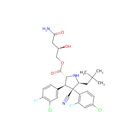 CC(C)(C)C[C@@H]1N[C@@H](C(=O)OC[C@H](O)CC(N)=O)[C@H](c2ccc(F)c(Cl)c2)[C@@]1(C#N)c1ccc(Cl)cc1F